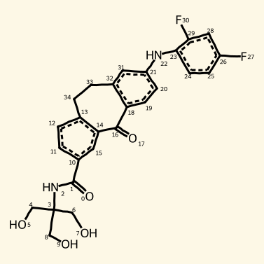 O=C(NC(CO)(CO)CO)c1ccc2c(c1)C(=O)c1ccc(Nc3ccc(F)cc3F)cc1CC2